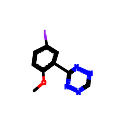 COc1ccc(I)cc1-c1nncnn1